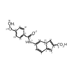 O=C(Nc1ccc2nc(C(=O)O)cn2c1)c1ccc(OO)cc1